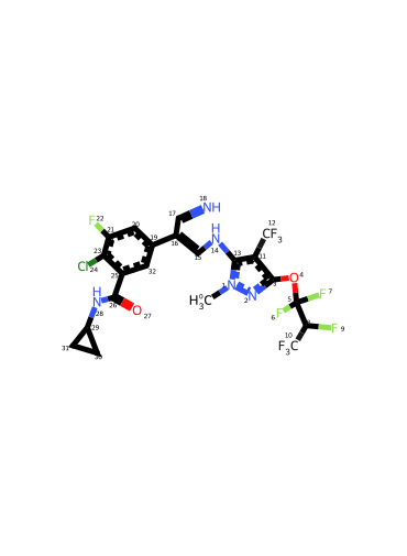 Cn1nc(OC(F)(F)C(F)C(F)(F)F)c(C(F)(F)F)c1N/C=C(\C=N)c1cc(F)c(Cl)c(C(=O)NC2CC2)c1